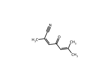 CC(C)=CC(=O)/C=C(/C)C#N